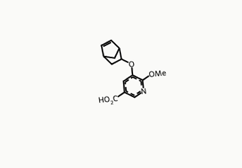 COc1ncc(C(=O)O)cc1OC1CC2C=CC1C2